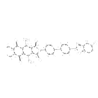 Cc1ccc2oc(-c3ccc(-c4ccc(-n5c(=O)c6c(N)c7c(=O)c8ccccc8c(=O)c7c(N)c6c5=O)cc4)cc3)nc2c1